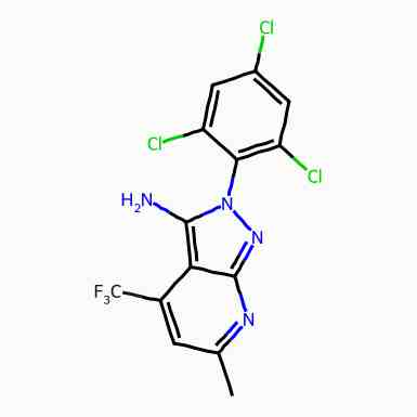 Cc1cc(C(F)(F)F)c2c(N)n(-c3c(Cl)cc(Cl)cc3Cl)nc2n1